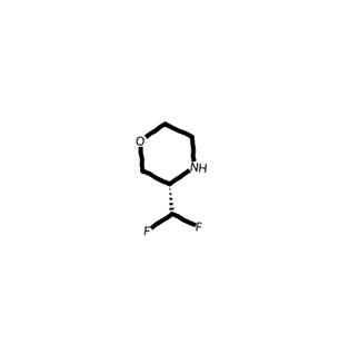 FC(F)[C@@H]1COCCN1